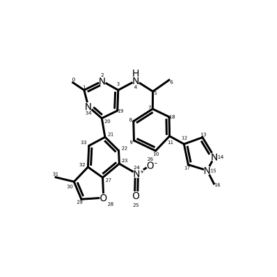 Cc1nc(NC(C)c2cccc(-c3cnn(C)c3)c2)cc(-c2cc([N+](=O)[O-])c3occ(C)c3c2)n1